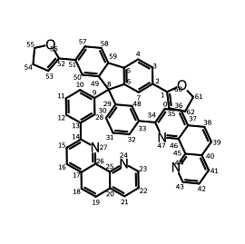 C1=C(c2ccc3c(c2)C(c2cccc(-c4ccc5ccc6cccnc6c5n4)c2)(c2cccc(-c4ccc5ccc6cccnc6c5n4)c2)c2cc(C4=CCCO4)ccc2-3)OCC1